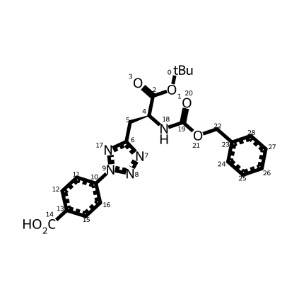 CC(C)(C)OC(=O)[C@H](Cc1nnn(-c2ccc(C(=O)O)cc2)n1)NC(=O)OCc1ccccc1